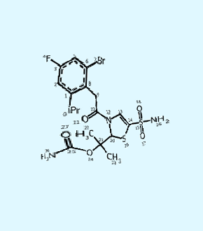 CC(C)c1cc(F)cc(Br)c1CC(=O)N1C=C(S(N)(=O)=O)SC1C(C)(C)OC(N)=O